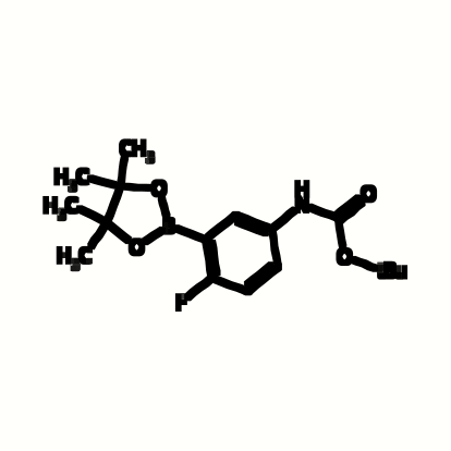 CC(C)(C)OC(=O)Nc1ccc(F)c(B2OC(C)(C)C(C)(C)O2)c1